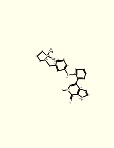 Cn1cc(-c2ccccc2Oc2cccc(CN3CCCS3(O)O)c2)c2cc[nH]c2c1=O